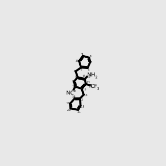 N#Cc1cc(Cc2ccccc2)c(N)c(C(F)(F)F)c1Cc1ccccc1